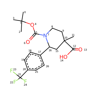 CC(C)(C)OC(=O)N1CCC(C)(C(=O)O)CC1c1ccc(C(F)(F)F)cc1